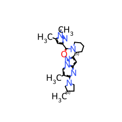 Cc1cn2nc([C@@H]3CCCCN3C(=O)c3cc(C)n(C)n3)cc2nc1N1CC[C@H](C)C1